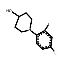 OC1CCN(c2ccc(Cl)cc2I)CC1